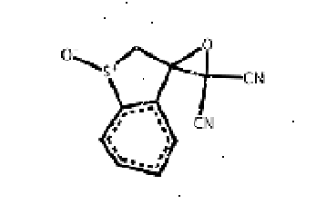 N#CC1(C#N)OC12C[S+]([O-])c1ccccc12